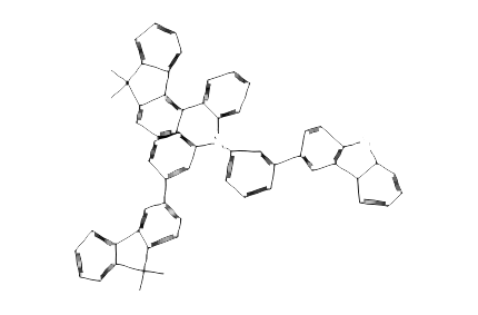 CC1(C)c2ccccc2-c2cc(-c3cccc(N(c4cccc(-c5ccc6c(c5)C5C=CC=CC5S6)c4)c4ccccc4-c4cccc5c4-c4ccccc4C5(C)C)c3)ccc21